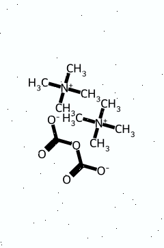 C[N+](C)(C)C.C[N+](C)(C)C.O=C([O-])OC(=O)[O-]